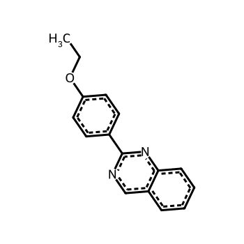 CCOc1ccc(-c2ncc3ccccc3n2)cc1